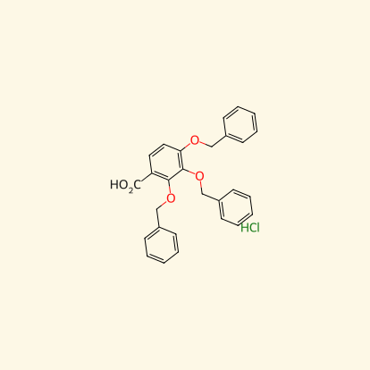 Cl.O=C(O)c1ccc(OCc2ccccc2)c(OCc2ccccc2)c1OCc1ccccc1